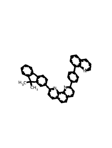 CC1(C)c2ccccc2-c2ccc(-c3ccc4ccc5ccc(-c6ccc(-c7cccc8cccnc78)cc6)nc5c4n3)cc21